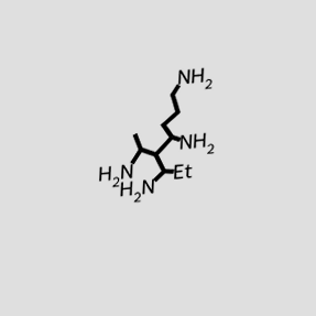 CCC(N)C(C(C)N)C(N)CCCN